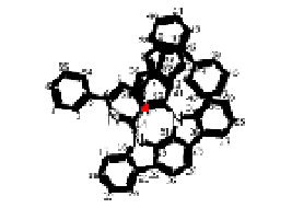 c1ccc(-c2cc(-c3ccccc3)nc(-n3c4ccccc4c4ccc5c6ccccc6n(-c6cccc(-c7ccccc7-c7ccccc7)c6)c5c43)n2)cc1